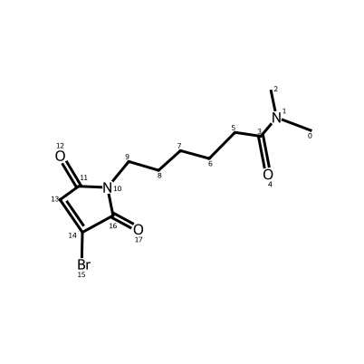 CN(C)C(=O)CCCCCN1C(=O)C=C(Br)C1=O